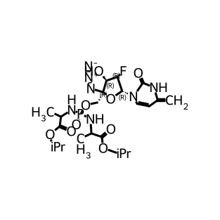 C=C1C=CN([C@@H]2O[C@@](COP(=O)(NC(C)C(=O)OC(C)C)NC(C)C(=O)OC(C)C)(N=[N+]=[N-])[C@@H](O)[C@H]2F)C(=O)N1